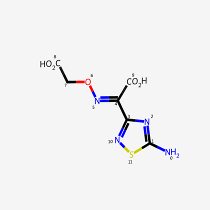 Nc1nc(/C(=N/OCC(=O)O)C(=O)O)ns1